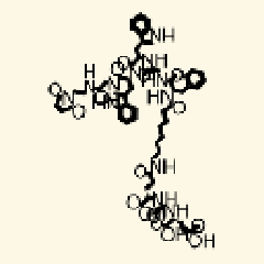 O=C(O)CC[C@H](NC(=O)N[C@@H](CCC(=O)NCCCCCCCC(=O)NC(Cc1ccccc1)C(=O)NCC(=O)NC(Cc1c[nH]c2ccccc12)C(=O)NC(Cc1c[nH]c2ccccc12)C(=O)NCC(=O)NCCN1C(=O)C=CC1=O)C(=O)O)C(=O)O